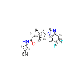 CC(C(=O)NC12CC(C#N)(C1)C2)[C@H]1[C@@H]2C[C@@H](n3cnc4cc(F)c(F)cc43)C[C@@H]21